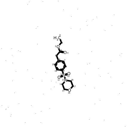 CCOC(=O)Cc1ccc(S(=O)(=O)N2CCOCC2)cc1